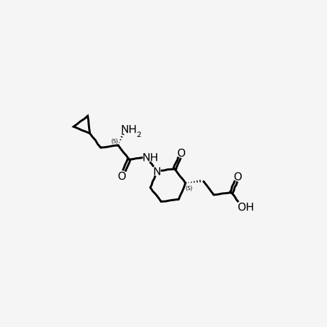 N[C@@H](CC1CC1)C(=O)NN1CCC[C@@H](CCC(=O)O)C1=O